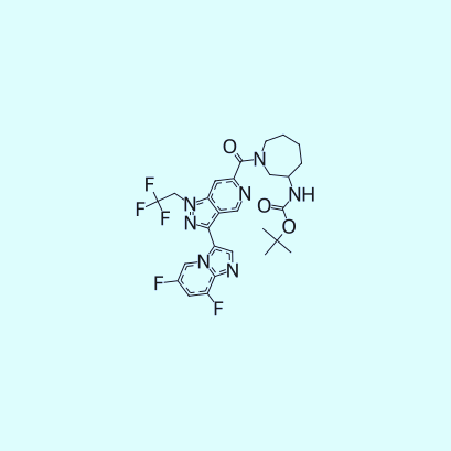 CC(C)(C)OC(=O)NC1CCCCN(C(=O)c2cc3c(cn2)c(-c2cnc4c(F)cc(F)cn24)nn3CC(F)(F)F)C1